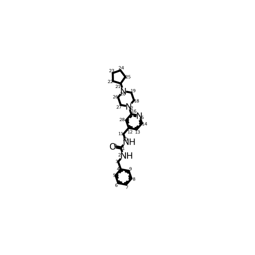 O=C(NCc1ccccc1)NCc1ccnc(N2CCN(C3CCCC3)CC2)c1